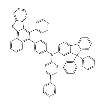 c1ccc(-c2ccc(N(c3ccc(-c4c(-c5ccccc5)c5c6ccccc6sc5c5ccccc45)cc3)c3ccc4c(c3)C(c3ccccc3)(c3ccccc3)c3ccccc3-4)cc2)cc1